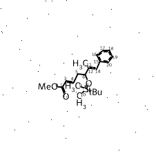 COC(=O)/C=C/CC(O[Si](C)(C)C(C)(C)C)/C(C)=C/c1ccccc1